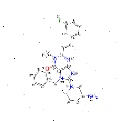 Cn1c(C=Cc2cccc(F)c2)nc2nc(N3CCCC(N)C3)n(Cc3ccccc3)c2c1=O